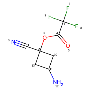 N#CC1(OC(=O)C(F)(F)F)CC(N)C1